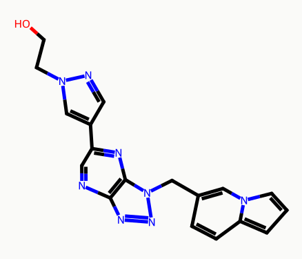 OCCn1cc(-c2cnc3nnn(Cc4ccc5cccn5c4)c3n2)cn1